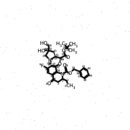 CCC1CC(=O)c2cc(F)c(F)c(O[C@H](C(=O)OC(C)(C)C)[C@@H]3C[C@@](O)(CO)CN3)c2N1C(=O)OCc1ccccc1